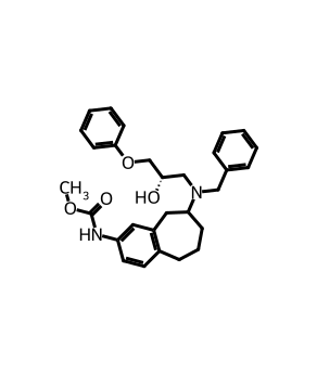 COC(=O)Nc1ccc2c(c1)CC(N(Cc1ccccc1)C[C@H](O)COc1ccccc1)CCC2